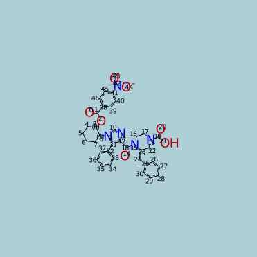 O=C(O[C@@H]1CCCC[C@@H]1n1cnc(C(=O)N2CCN(C(=O)O)C[C@H]2Cc2ccccc2)c1-c1ccccc1)c1ccc([N+](=O)[O-])cc1